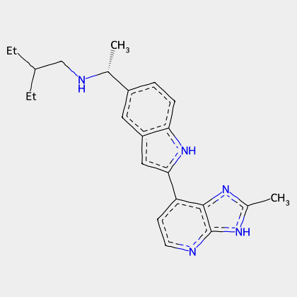 CCC(CC)CN[C@H](C)c1ccc2[nH]c(-c3ccnc4[nH]c(C)nc34)cc2c1